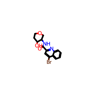 O=C(NC1COCCC1O)c1cc(Br)c2ccccc2n1